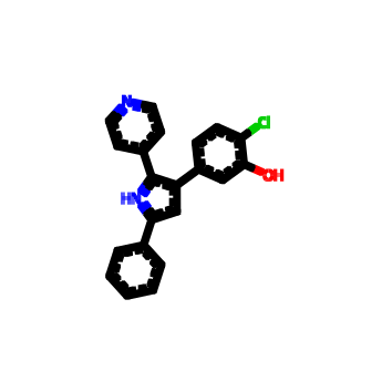 Oc1cc(-c2cc(-c3ccccc3)[nH]c2-c2ccncc2)ccc1Cl